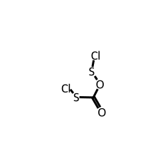 O=C(OSCl)SCl